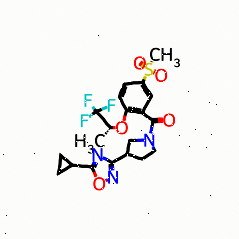 C[C@@H](Oc1ccc(S(C)(=O)=O)cc1C(=O)N1CCC(c2noc(C3CC3)n2)C1)C(F)(F)F